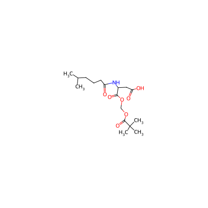 CC(C)CCCC(=O)NC(CC(=O)O)C(=O)OCOC(=O)C(C)(C)C